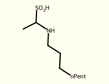 CCCCCCCCNC(C)S(=O)(=O)O